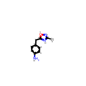 CCc1noc(Cc2ccc(N)cc2)n1